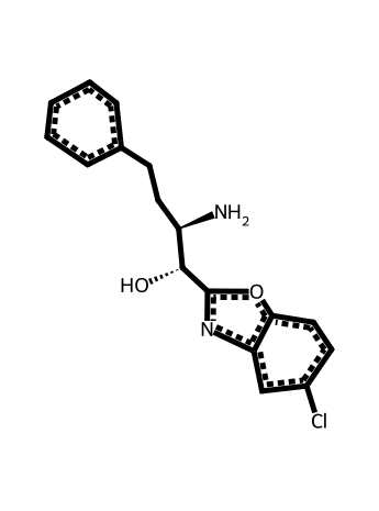 N[C@H](CCc1ccccc1)[C@@H](O)c1nc2cc(Cl)ccc2o1